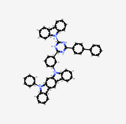 c1ccc(-c2ccc(-c3nc(-c4cccc(-n5c6ccccc6c6cc7c8ccccc8n(-c8ccccc8)c7cc65)c4)nc(-n4c5ccccc5c5ccccc54)n3)cc2)cc1